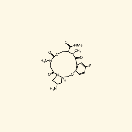 CNC(=O)[C@@H]1CCC(=O)N(C)CC(=O)N2C[C@@H](N)C[C@H]2COc2ccc(F)cc2C(=O)N1C